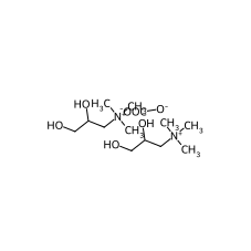 C[N+](C)(C)CC(O)CO.C[N+](C)(C)CC(O)CO.O=C([O-])[O-]